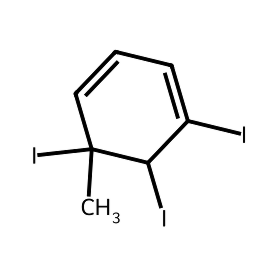 CC1(I)C=CC=C(I)C1I